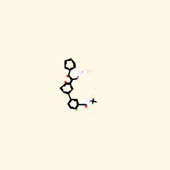 CNC(=O)c1c(-c2ccc(F)cc2)oc2ccc(-c3ccc(F)c(C(=O)NC(C)(C)C)c3)cc12